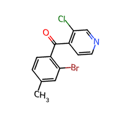 Cc1ccc(C(=O)c2ccncc2Cl)c(Br)c1